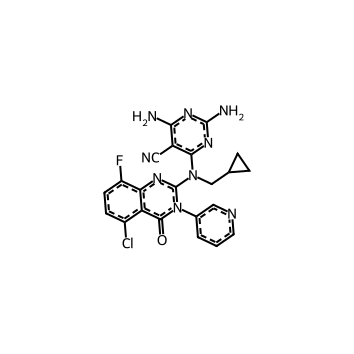 N#Cc1c(N)nc(N)nc1N(CC1CC1)c1nc2c(F)ccc(Cl)c2c(=O)n1-c1cccnc1